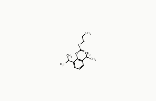 CC[CH]OC(=O)Oc1c(C(C)C)cccc1C(C)C